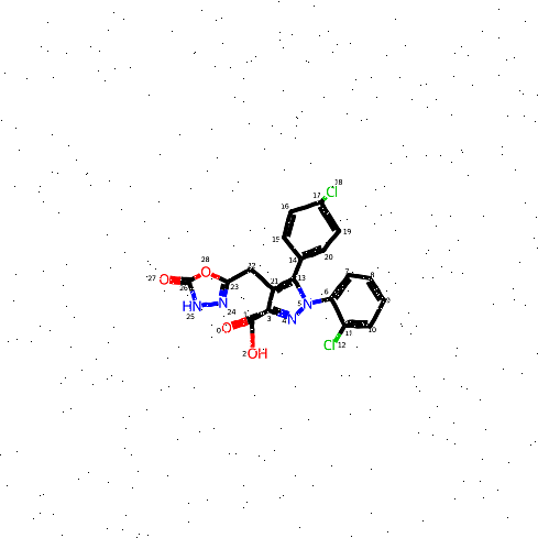 O=C(O)c1nn(-c2ccccc2Cl)c(-c2ccc(Cl)cc2)c1Cc1n[nH]c(=O)o1